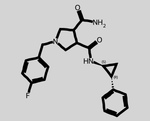 NC(=O)C1CN(Cc2ccc(F)cc2)CC1C(=O)N[C@H]1C[C@@H]1c1ccccc1